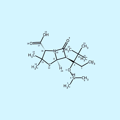 CCC(O[SiH](C)C)([C@@H]1C(=O)N2[C@@H]1SC(C)(C)[C@@H]2C(=O)O)C(C)(C)C